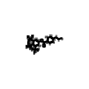 CCCc1ccc(C(=O)Oc2cc(C(F)(F)F)c(C(F)(F)F)c(C(F)(F)F)c2)cc1